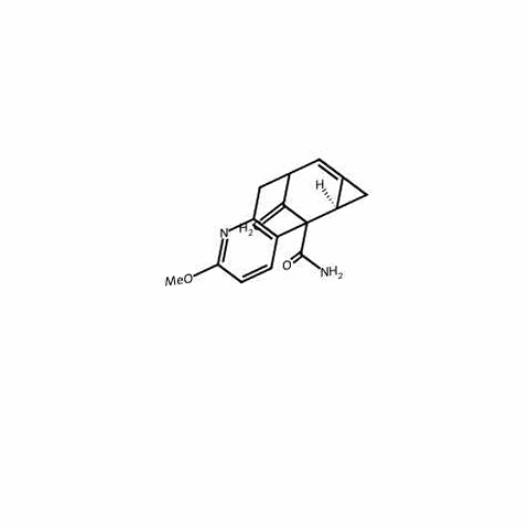 C=C1C2C=C3C[C@H]3C1(C(N)=O)c1ccc(OC)nc1C2